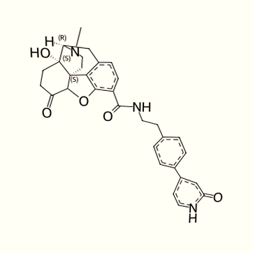 CN1CC[C@]23c4c5ccc(C(=O)NCCc6ccc(-c7cc[nH]c(=O)c7)cc6)c4OC2C(=O)CC[C@@]3(O)[C@H]1C5